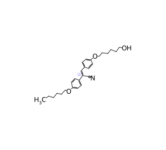 CCCCCCOc1ccc(/C(C#N)=C/c2ccc(OCCCCCCO)cc2)cc1